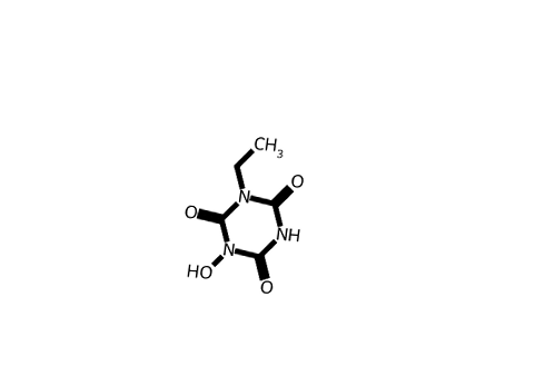 CCn1c(=O)[nH]c(=O)n(O)c1=O